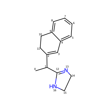 CC(C1=Cc2ccccc2CC1)C1=NCCN1